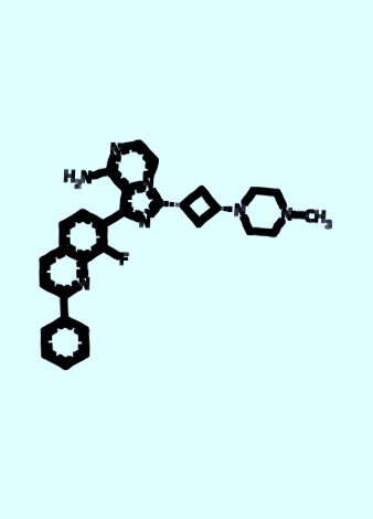 CN1CCN([C@H]2C[C@@H](c3nc(-c4ccc5ccc(-c6ccccc6)nc5c4F)c4c(N)nccn43)C2)CC1